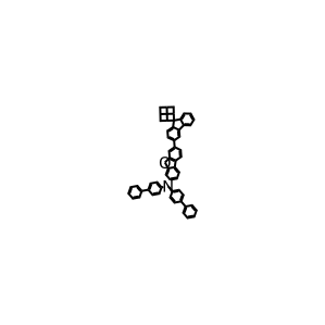 c1ccc(-c2ccc(N(c3ccc(-c4ccccc4)cc3)c3ccc4c(c3)oc3cc(-c5ccc6c(c5)-c5ccccc5C65C6CC7CC8CC5C786)ccc34)cc2)cc1